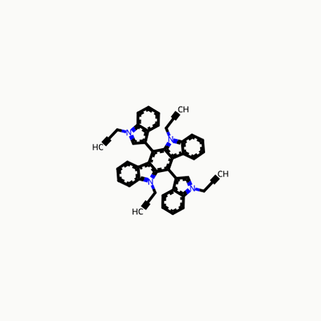 C#CCn1cc(-c2c3c4ccccc4n(CC#C)c3c(-c3cn(CC#C)c4ccccc34)c3c4ccccc4n(CC#C)c23)c2ccccc21